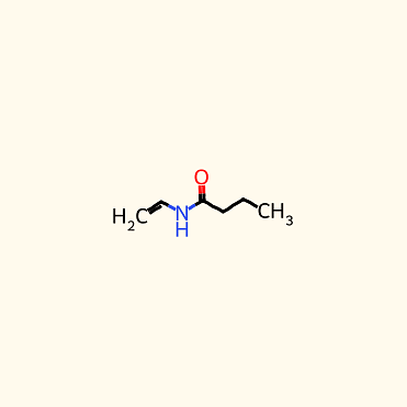 C=CNC(=O)CCC